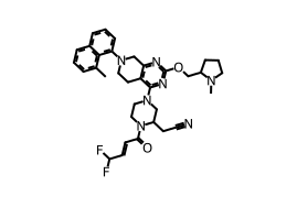 Cc1cccc2cccc(N3CCc4c(nc(OCC5CCCN5C)nc4N4CCN(C(=O)/C=C/C(F)F)C(CC#N)C4)C3)c12